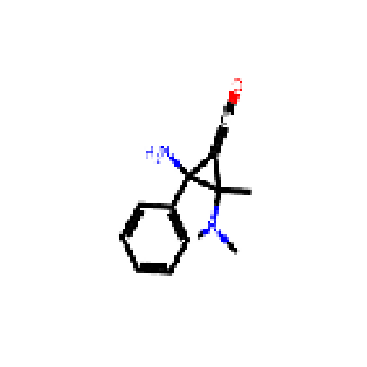 CN(C)C1(C)C(=C=O)C1(N)c1ccccc1